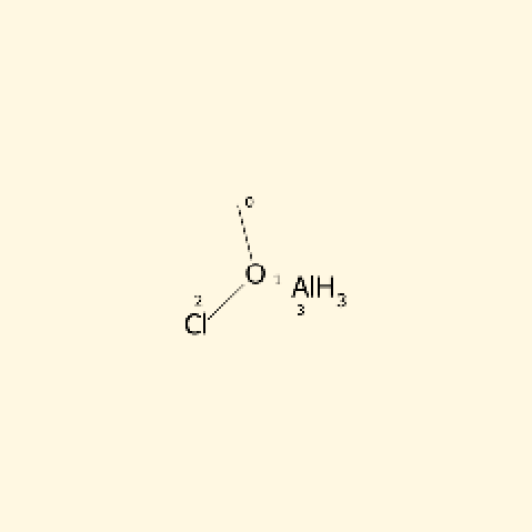 COCl.[AlH3]